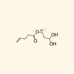 C=CCCC(=O)O[C@H](C)CC(O)O